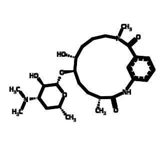 C[C@@H]1C[C@H](N(C)C)[C@@H](O)[C@H](O[C@@H]2CC[C@@H](C)C(=O)Nc3cccc(c3)C(=O)N(C)CCC[C@H]2O)O1